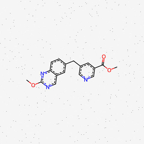 COC(=O)c1cncc(Cc2ccc3nc(OC)ncc3c2)c1